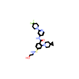 O=C(Nc1ccnc(N2CCC(F)(F)CC2)c1)c1ccc(SNCCO)cc1N1CCC2(CC1)CC2